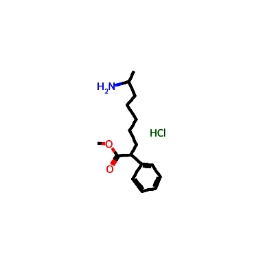 COC(=O)C(CCCCCC(C)N)c1ccccc1.Cl